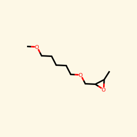 COCCCCCOCC1OC1C